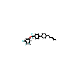 C/C=C/CCC1CCC(c2ccc(C(F)(F)Oc3cc(F)c(F)c(F)c3)cc2)CC1